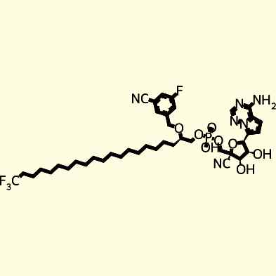 N#Cc1cc(F)cc(CO[C@H](CCCCCCCCCCCCCCCCCCC(F)(F)F)COP(=O)(O)OC[C@@]2(C#N)O[C@@H](c3ccc4c(N)ncnn34)[C@H](O)[C@@H]2O)c1